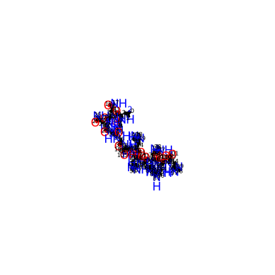 CC(C)C[C@H](NC(=O)CN)C(=O)N[C@@H](CCC(N)=O)C(=O)N[C@@H](CCC(N)=O)C(=O)NCC(=O)NCC(=O)N[C@H](C(=O)N[C@@H](Cc1c[nH]cn1)C(=O)N[C@@H](Cc1c[nH]cn1)C(=O)N[C@@H](Cc1c[nH]cn1)C(=O)N[C@@H](Cc1c[nH]cn1)C(=O)N[C@@H](Cc1c[nH]cn1)C(=O)N[C@@H](Cc1c[nH]cn1)C(=O)O)[C@@H](C)O